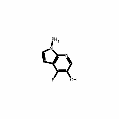 Oc1cnc2c(ccn2P)c1F